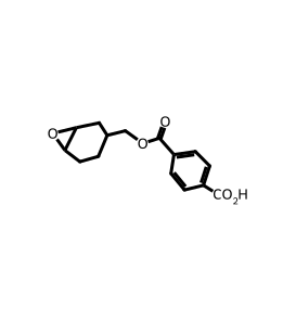 O=C(O)c1ccc(C(=O)OCC2CCC3OC3C2)cc1